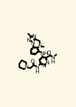 CNC(=O)c1nnc(NC(=O)CN2CCCCC2)cc1Nc1cccc2c1N(C)Cc1nc(C)nn1-2